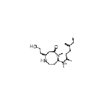 C=C(CC)CCC(C)[C@@H](C)C1CCNC(=CCO)CC(=O)N1C